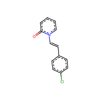 O=c1ccccn1/C=C/c1ccc(Cl)cc1